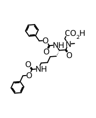 CN(CC(=O)O)C(=O)[C@H](CCCCNC(=O)OCc1ccccc1)NC(=O)OCc1ccccc1